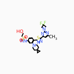 Cc1cc(-c2nnc(-c3ccc(NS(=O)(=O)CCO)cc3N3CCC4(CC3)CC4)s2)nc(N2CC(F)(F)C2)n1